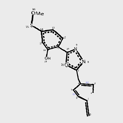 C=C/C=C\C(=C/C)c1nnc(-c2ccc(SOC)cc2O)o1